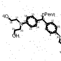 CCCCCC(c1ccc(NCCO)cc1)c1ccc(N(CCO)CCO)cc1